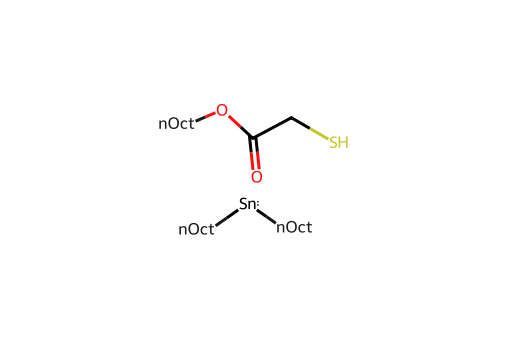 CCCCCCCCOC(=O)CS.CCCCCCC[CH2][Sn][CH2]CCCCCCC